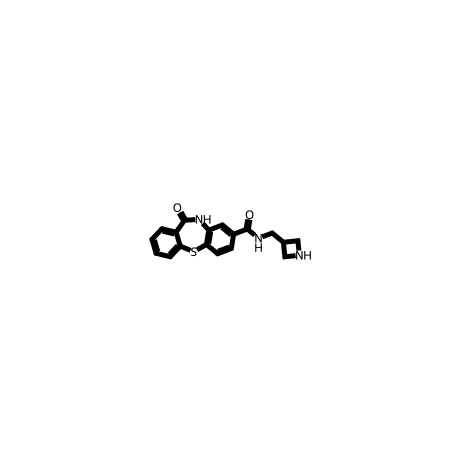 O=C(NCC1CNC1)c1ccc2c(c1)NC(=O)c1ccccc1S2